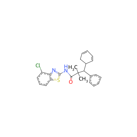 CC(C)(C(=O)Nc1nc2c(Cl)cccc2s1)C(c1ccccc1)C1C=CC=CC1